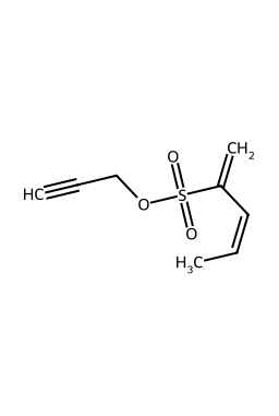 C#CCOS(=O)(=O)C(=C)/C=C\C